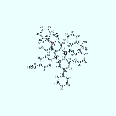 CCCCc1ccc(N2c3cc4c(cc3B3c5c(cc(-c6ccccc6)cc52)-c2cccc5c2N3c2ccccc2C5(C)C)sc2ccccc24)c(-c2ccccc2)c1